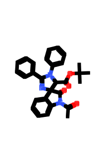 CC(=O)N1C(=O)C2(N=C(c3ccccc3)N(c3ccccc3)C2C(=O)OC(C)(C)C)c2ccccc21